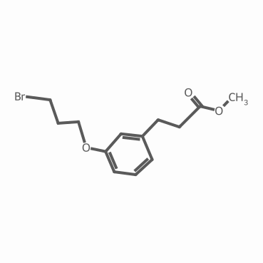 COC(=O)CCc1cccc(OCCCBr)c1